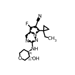 CCC1(c2c(C#N)c(F)c3cnc(N[C@@H]4CCOC[C@H]4O)nn23)CC1